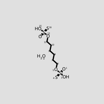 O.O=S(O)(=S)OCCCCCCOS(=O)(O)=S